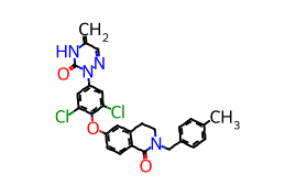 C=C1C=NN(c2cc(Cl)c(Oc3ccc4c(c3)CCN(Cc3ccc(C)cc3)C4=O)c(Cl)c2)C(=O)N1